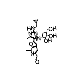 Cc1nc(NCC2CC2)nc(N[C@@H]2C[C@H](CO)[C@@H](O)[C@H]2O)c1-c1cc2cc(CC=O)nc(C)c2o1